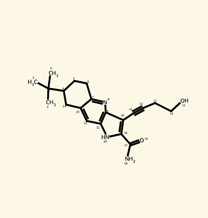 CC(C)(C)C1CCc2nc3c(C#CCCO)c(C(N)=O)[nH]c3cc2C1